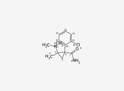 CN(C)C1(C)CC1(C(N)=O)c1ccccc1Cl